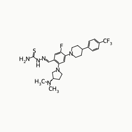 CN(C)[C@@H]1CCN(c2cc(N3CCC(c4ccc(C(F)(F)F)cc4)CC3)c(F)cc2C=NNC(N)=S)C1